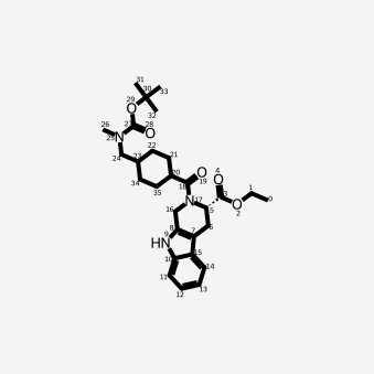 CCOC(=O)[C@@H]1Cc2c([nH]c3ccccc23)CN1C(=O)C1CCC(CN(C)C(=O)OC(C)(C)C)CC1